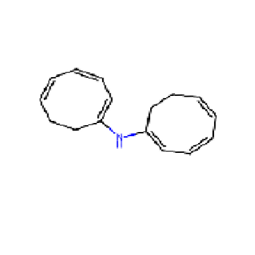 C1=CC=C(NC2=CC=CC=CCC2)CCC=C1